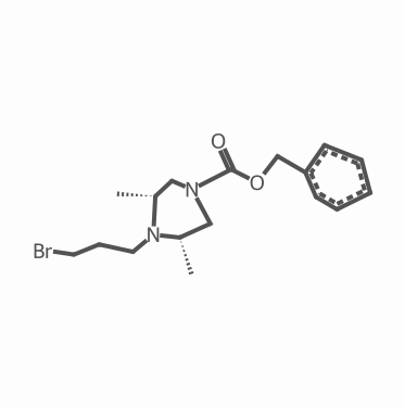 C[C@@H]1CN(C(=O)OCc2ccccc2)C[C@H](C)N1CCCBr